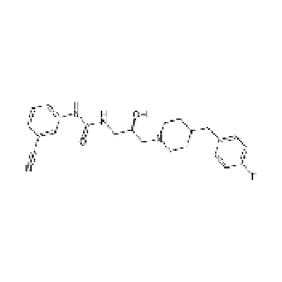 N#Cc1cccc(NC(=O)NC[C@@H](O)CN2CCC(Cc3ccc(F)cc3)CC2)c1